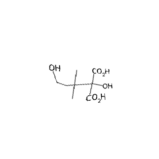 CC(C)(CO)C(O)(C(=O)O)C(=O)O